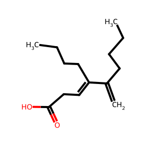 C=C(CCCC)C(=CCC(=O)O)CCCC